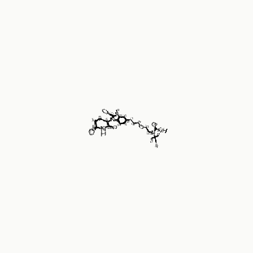 Cn1c(=O)n(C2CCC(=O)NC2=O)c2ccc(CCCOCCN(C(=O)O)C(C)(C)C)cc21